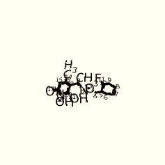 C/C(=N\OCc1ccccc1F)c1c(C)cc(=O)n(O)c1O